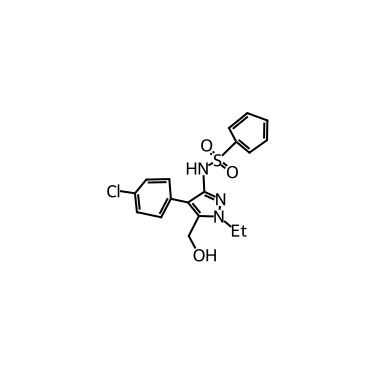 CCn1nc(NS(=O)(=O)c2ccccc2)c(-c2ccc(Cl)cc2)c1CO